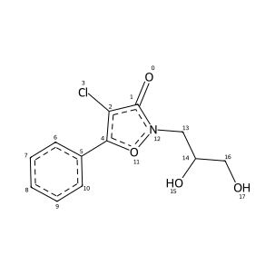 O=c1c(Cl)c(-c2ccccc2)on1CC(O)CO